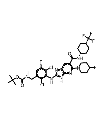 CC(C)(C)OC(=O)NCc1cc(F)c(Cl)c(Nc2nc3cc(C(=O)N[C@H]4CC[C@H](C(F)(F)F)CC4)c(N4CCC(F)CC4)nc3[nH]2)c1Cl